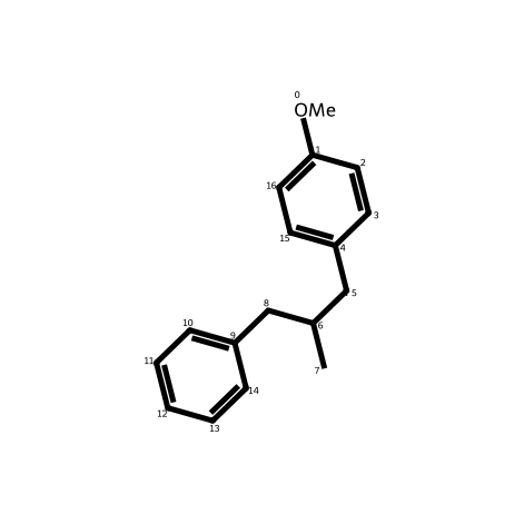 COc1ccc([CH]C(C)Cc2ccccc2)cc1